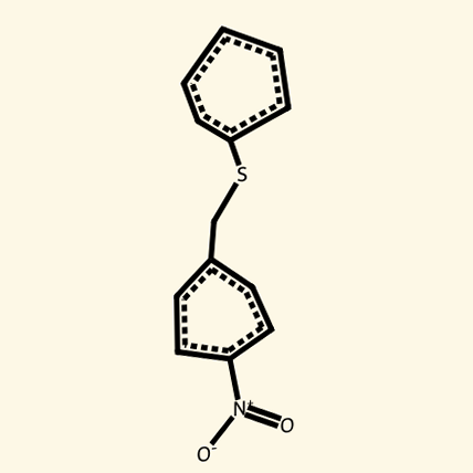 O=[N+]([O-])c1ccc(CSc2ccccc2)cc1